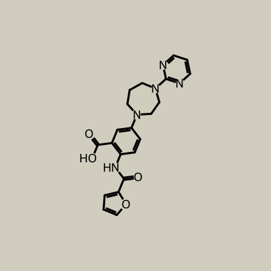 O=C(Nc1ccc(N2CCCN(c3ncccn3)CC2)cc1C(=O)O)c1ccco1